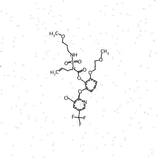 C=CCN(C(=O)Oc1c(OCCOC)cccc1Oc1ncc(C(F)(F)F)cc1Cl)S(=O)(=O)NCCCOC